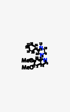 COc1cc2ccnc(N3CCN(C)C(c4ccc(C)cc4)C3)c2cc1OC